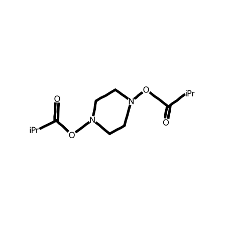 CC(C)C(=O)ON1CCN(OC(=O)C(C)C)CC1